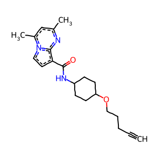 C#CCCCOC1CCC(NC(=O)c2ccn3c(C)cc(C)nc23)CC1